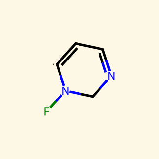 FN1[C]=CC=NC1